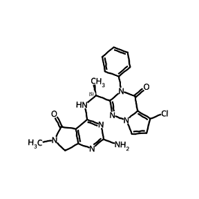 C[C@H](Nc1nc(N)nc2c1C(=O)N(C)C2)c1nn2ccc(Cl)c2c(=O)n1-c1ccccc1